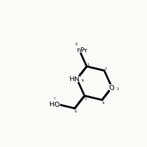 CCCC1COCC(CO)N1